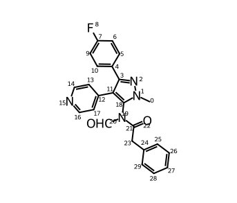 Cn1nc(-c2ccc(F)cc2)c(-c2ccncc2)c1N(C=O)C(=O)Cc1ccccc1